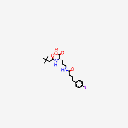 CC(C)(C)CC(=O)N[C@@H](CCCNC(=O)CCCc1ccc(I)cc1)C(=O)O